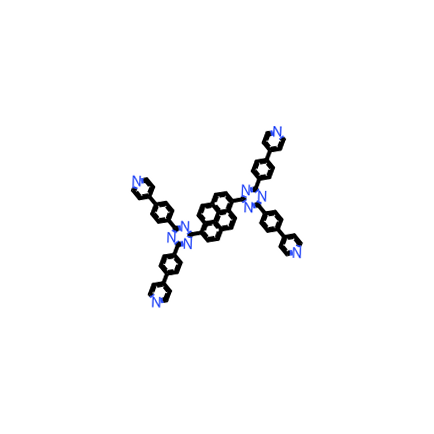 c1cc(-c2ccc(-c3nc(-c4ccc(-c5ccncc5)cc4)nc(-c4ccc5ccc6c(-c7nc(-c8ccc(-c9ccncc9)cc8)nc(-c8ccc(-c9ccncc9)cc8)n7)ccc7ccc4c5c76)n3)cc2)ccn1